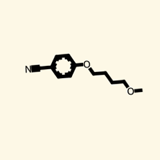 COCCCCOc1ccc(C#N)cc1